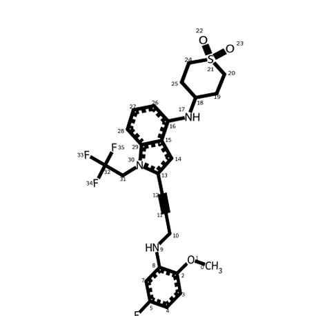 COc1ccc(F)cc1NCC#Cc1cc2c(NC3CCS(=O)(=O)CC3)cccc2n1CC(F)(F)F